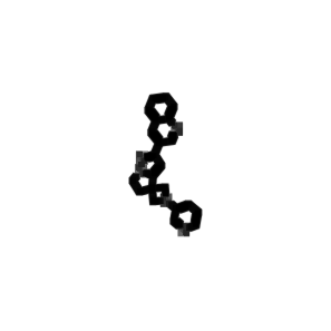 c1cncc(N2CC3(CCn4nc(-c5cnc6ccccc6c5)cc43)C2)c1